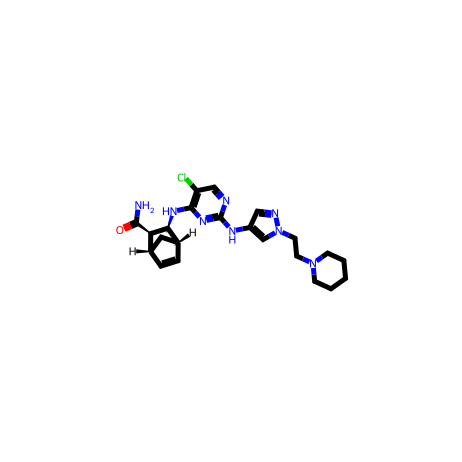 NC(=O)[C@H]1[C@@H](Nc2nc(Nc3cnn(CCN4CCCCC4)c3)ncc2Cl)[C@@H]2C=C[C@H]1C2